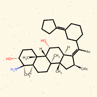 CC(=O)O[C@H]1C[C@@]2(C)[C@@H](C[C@@H](O)[C@H]3[C@@]4(C)CC[C@@H](O)[C@](C)(N)[C@@H]4CC[C@@]32C)/C1=C(/C(C)=O)C1CCCC(=C2CCCC2)C1